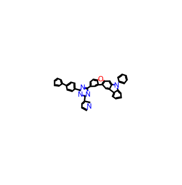 c1ccc(-c2ccc(-c3nc(-c4cccnc4)nc(-c4ccc5oc6cc7c(cc6c5c4)c4ccccc4n7-c4ccccc4)n3)cc2)cc1